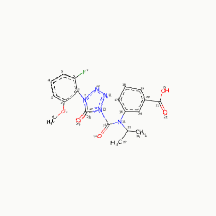 COc1cccc(F)c1-n1nnn(C(=O)N(c2cccc(C(=O)O)c2)C(C)C)c1=O